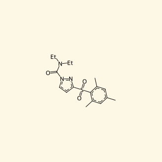 CCN(CC)C(=O)n1ccc(S(=O)(=O)c2c(C)cc(C)cc2C)n1